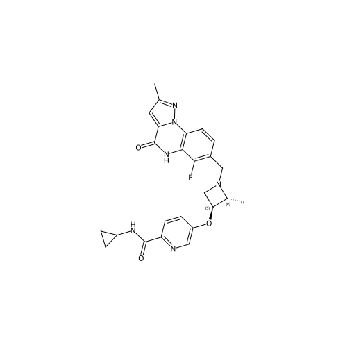 Cc1cc2c(=O)[nH]c3c(F)c(CN4C[C@H](Oc5ccc(C(=O)NC6CC6)nc5)[C@H]4C)ccc3n2n1